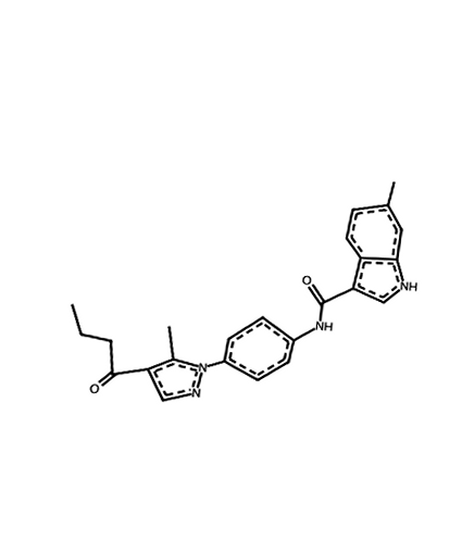 CCCC(=O)c1cnn(-c2ccc(NC(=O)c3c[nH]c4cc(C)ccc34)cc2)c1C